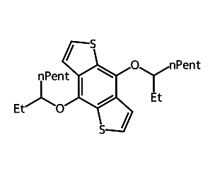 CCCCCC(CC)Oc1c2ccsc2c(OC(CC)CCCCC)c2ccsc12